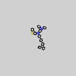 c1ccc(-n2c3ccccc3c3cc(N(c4ccc(-c5ccc(-c6ccc7c(c6)C6(CC8CCC6C8)c6ccccc6-7)cc5)cc4)c4ccc5sc6ccccc6c5c4)ccc32)cc1